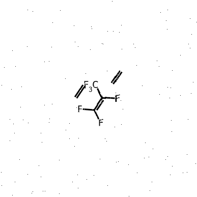 C=C.C=C.FC(F)=C(F)C(F)(F)F